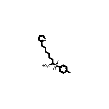 Cc1ccc(S(=O)(=O)C(CCCCCCc2ccco2)C(=O)O)cc1